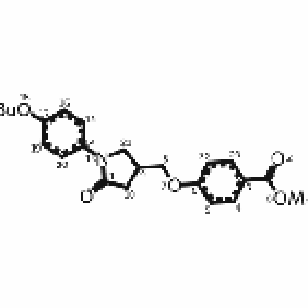 COC(=O)c1ccc(OCC2CC(=O)N(c3ccc(OCC(C)C)cc3)C2)cc1